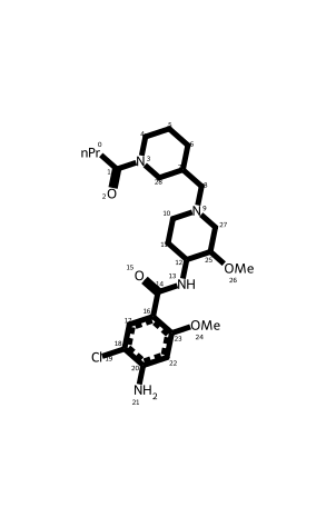 CCCC(=O)N1CCCC(CN2CCC(NC(=O)c3cc(Cl)c(N)cc3OC)C(OC)C2)C1